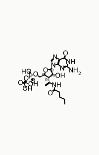 C=C(NC(=O)CCCC)[C@H]1[C@@H](O)[C@H](n2cnc3c(=O)[nH]c(N)nc32)O[C@@H]1COP(=O)(O)OP(=O)(O)O